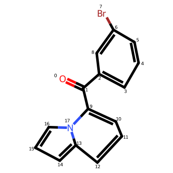 O=C(c1cccc(Br)c1)c1cccc2cccn12